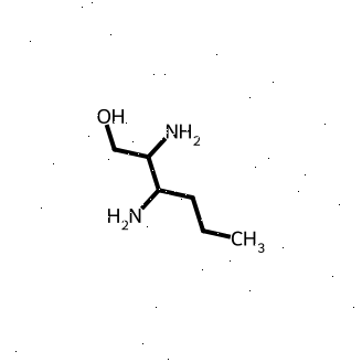 CCCC(N)C(N)CO